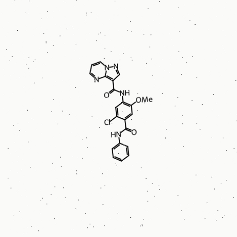 COc1cc(C(=O)Nc2ccccc2)c(Cl)cc1NC(=O)c1cnn2cccnc12